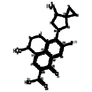 CC1CSc2c(N3CC(N)C4(CC4)C3)c(F)cc3c(=O)c(C(=O)O)cn1c23